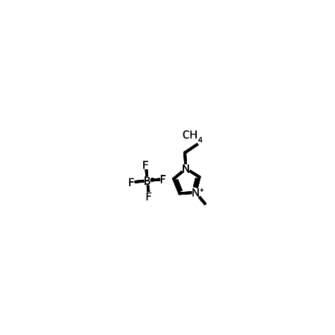 C.CCn1cc[n+](C)c1.F[B-](F)(F)F